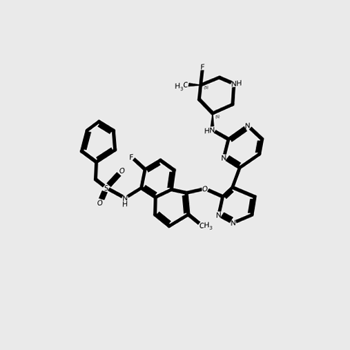 Cc1ccc2c(NS(=O)(=O)Cc3ccccc3)c(F)ccc2c1Oc1nnccc1-c1ccnc(N[C@@H]2CNC[C@@](C)(F)C2)n1